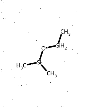 C[SiH2]O[Si](C)C